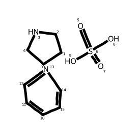 C1CCNC1.O=S(=O)(O)O.c1ccncc1